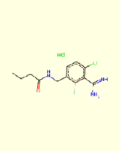 CCCC(=O)NCc1ccc(Cl)c(C(=N)N)c1F.Cl